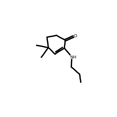 CCCNC1=CC(C)(C)CCC1=O